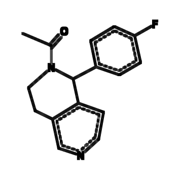 CC(=O)N1CCc2cnccc2C1c1ccc(F)cc1